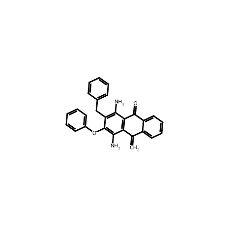 C=C1c2ccccc2C(=O)c2c(N)c(Cc3ccccc3)c(Oc3ccccc3)c(N)c21